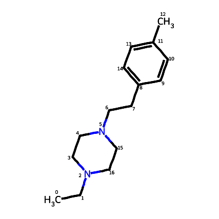 CCN1CCN(CCc2ccc(C)cc2)CC1